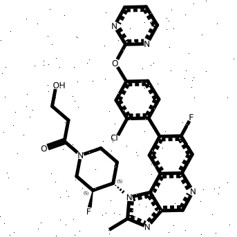 Cc1nc2cnc3cc(F)c(-c4ccc(Oc5ncccn5)cc4Cl)cc3c2n1[C@H]1CCN(C(=O)CCO)C[C@@H]1F